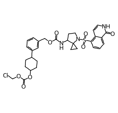 O=C(NC1CCN(S(=O)(=O)c2cccc3c(=O)[nH]ccc23)C12CC2)OCc1cccc(C2CCC(OC(=O)OCCl)CC2)c1